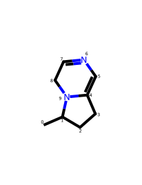 CC1CCC2=CN=CCN21